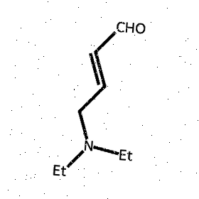 CCN(CC)CC=CC=O